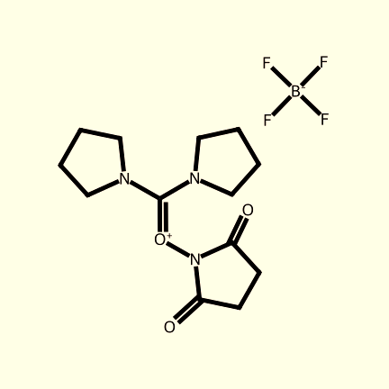 F[B-](F)(F)F.O=C1CCC(=O)N1[O+]=C(N1CCCC1)N1CCCC1